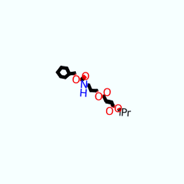 CC(C)OC(=O)/C=C/C(=O)OCCCNC(=O)OCC1CCCCC1